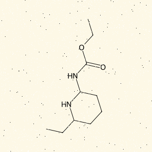 CCOC(=O)NC1CCCC(CC)N1